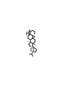 CC(C)[C@@H]1CC[C@](C)([C@H]2CC[C@@]3(C)C4CC[C@H]5C(C)(C)CCC[C@@]56C[C@@]46CC[C@]23C)O1